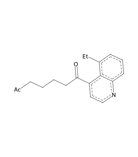 CCc1cccc2nccc(C(=O)CCCCC(C)=O)c12